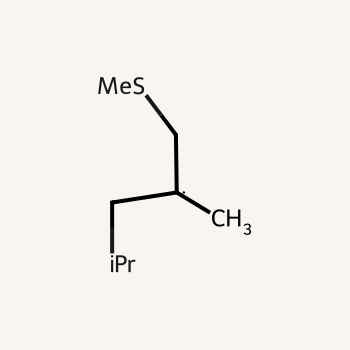 CSC[C](C)CC(C)C